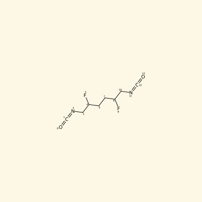 O=C=NCC(F)CCC(F)CN=C=O